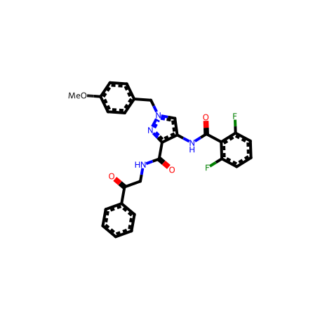 COc1ccc(Cn2cc(NC(=O)c3c(F)cccc3F)c(C(=O)NCC(=O)c3ccccc3)n2)cc1